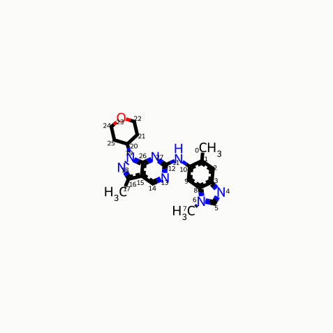 Cc1cc2ncn(C)c2cc1Nc1ncc2c(C)nn(C3CCOCC3)c2n1